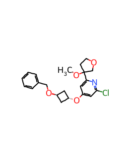 COC1(c2cc(O[C@H]3C[C@H](OCc4ccccc4)C3)cc(Cl)n2)CCOC1